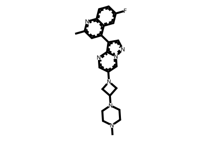 Cc1cc(-c2cnn3cc(N4CC(N5CCN(C)CC5)C4)cnc23)c2cc(F)ccc2n1